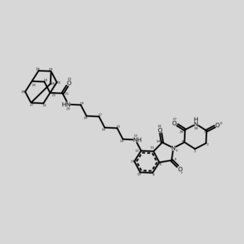 O=C1CCC(N2C(=O)c3cccc(NCCCCCCNC(=O)C45CC6CC(CC(C6)C4)C5)c3C2=O)C(=O)N1